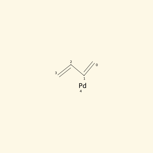 C=CC=C.[Pd]